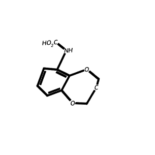 O=C(O)Nc1cccc2c1OCCCO2